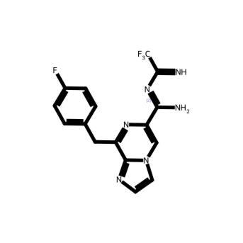 N=C(/N=C(\N)c1cn2ccnc2c(Cc2ccc(F)cc2)n1)C(F)(F)F